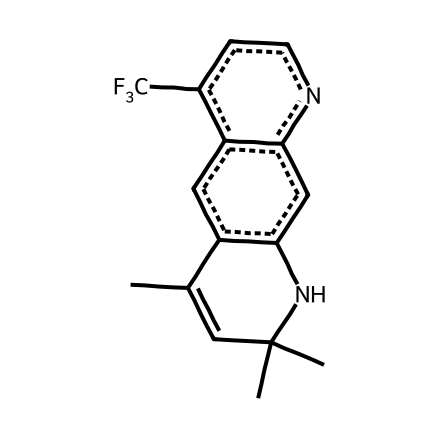 CC1=CC(C)(C)Nc2cc3nccc(C(F)(F)F)c3cc21